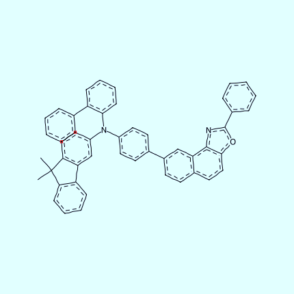 CC1(C)c2ccccc2-c2cc(N(c3ccc(-c4ccc5ccc6oc(-c7ccccc7)nc6c5c4)cc3)c3ccccc3-c3ccccc3)ccc21